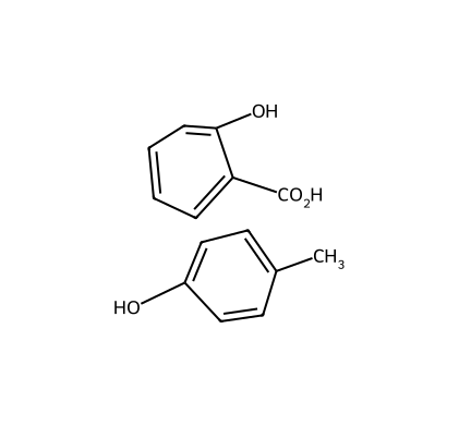 Cc1ccc(O)cc1.O=C(O)c1ccccc1O